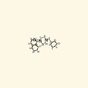 c1ccc(CN2CCN(c3nccc4ccccc34)CC2)cc1